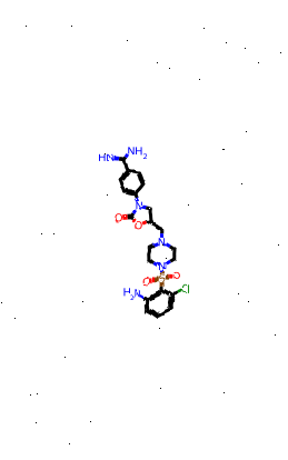 N=C(N)c1ccc(N2CC(CN3CCN(S(=O)(=O)c4c(N)cccc4Cl)CC3)OC2=O)cc1